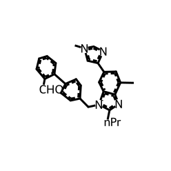 CCCc1nc2c(C)cc(-c3cn(C)cn3)cc2n1Cc1ccc(-c2ccccc2C=O)cc1